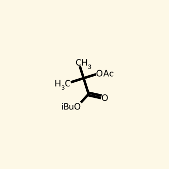 CC(=O)OC(C)(C)C(=O)OCC(C)C